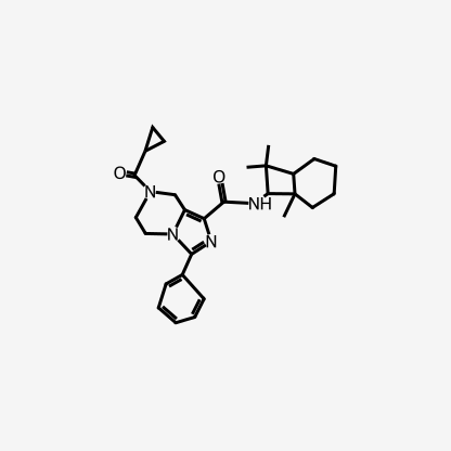 CC1(C)C2CCCCC2(C)C1NC(=O)c1nc(-c2ccccc2)n2c1CN(C(=O)C1CC1)CC2